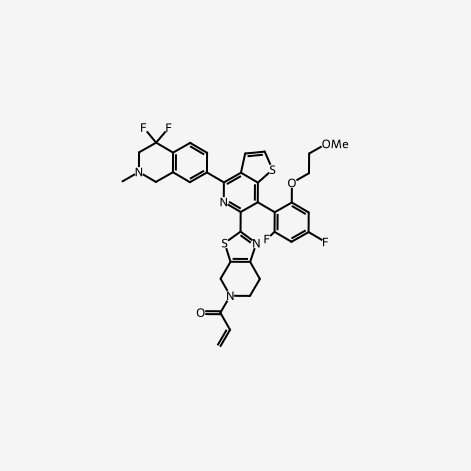 C=CC(=O)N1CCc2nc(-c3nc(-c4ccc5c(c4)CN(C)CC5(F)F)c4ccsc4c3-c3c(F)cc(F)cc3OCCOC)sc2C1